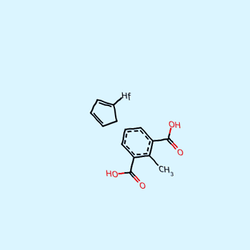 Cc1c(C(=O)O)cccc1C(=O)O.[Hf][C]1=CC=CC1